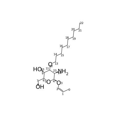 C/C=C\O[C@H]1OC(CO)[C@@H](O)C(OCCCCCCCCCC)[C@H]1N